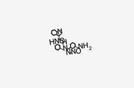 Cn1cc(C(=O)Nc2cccc(CNc3ncnc4c(C(N)=O)cccc34)c2)c2ccccc21